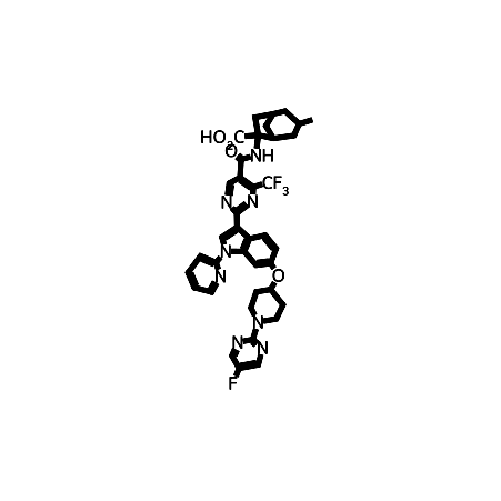 CC1CC2CC(C1)C(NC(=O)c1cnc(-c3cn(-c4ccccn4)c4cc(OC5CCN(c6ncc(F)cn6)CC5)ccc34)nc1C(F)(F)F)(C(=O)O)C2